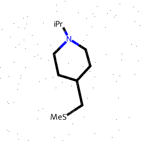 CSCC1CCN(C(C)C)CC1